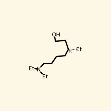 CC[C@@H](CCO)CCCCN(CC)CC